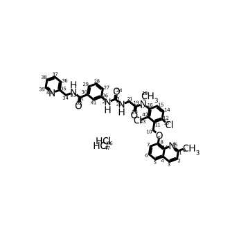 Cc1ccc2cccc(OCc3c(Cl)ccc(N(C)C(=O)CNC(=O)Nc4cccc(C(=O)NCc5ccccn5)c4)c3Cl)c2n1.Cl.Cl